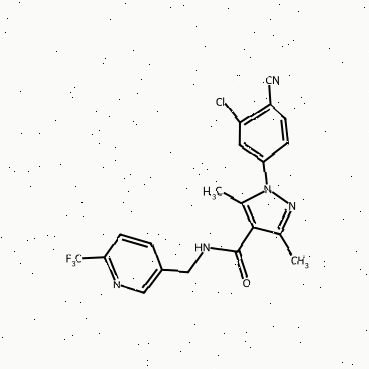 Cc1nn(-c2ccc(C#N)c(Cl)c2)c(C)c1C(=O)NCc1ccc(C(F)(F)F)nc1